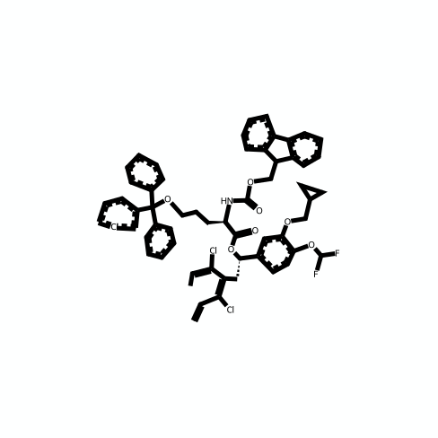 C=C/C(Cl)=C(C[C@H](OC(=O)[C@@H](CCCOC(c1ccccc1)(c1ccccc1)c1ccccc1)NC(=O)OCC1c2ccccc2-c2ccccc21)c1ccc(OC(F)F)c(OCC2CC2)c1)\C(Cl)=C/C